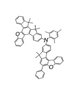 Cc1cc(C)c(N(c2ccc3c(c2)C(C)(C)c2cc(-c4ccccc4)c4oc5ccccc5c4c2-3)c2ccc3c(c2)C(C)(C)c2c4c(c5oc6ccccc6c5c2-3)-c2ccccc2C4(C)C)c(C)c1